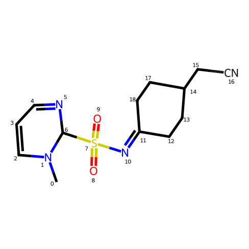 CN1C=CC=NC1S(=O)(=O)N=C1CCC(CC#N)CC1